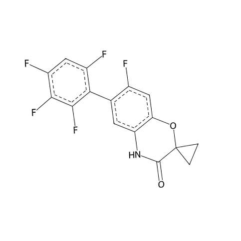 O=C1Nc2cc(-c3c(F)cc(F)c(F)c3F)c(F)cc2OC12CC2